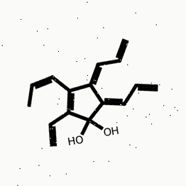 C=C/C=C1/C(/C=C\C)=C(C=C)C(O)(O)/C1=C/C=C